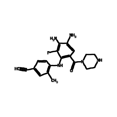 C#Cc1ccc(Nc2c(C(=O)N3CCNCC3)cc(N)c(N)c2F)c(C)c1